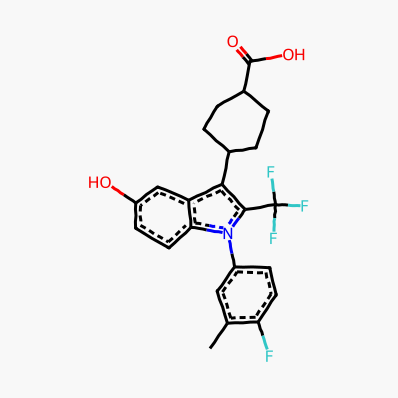 Cc1cc(-n2c(C(F)(F)F)c(C3CCC(C(=O)O)CC3)c3cc(O)ccc32)ccc1F